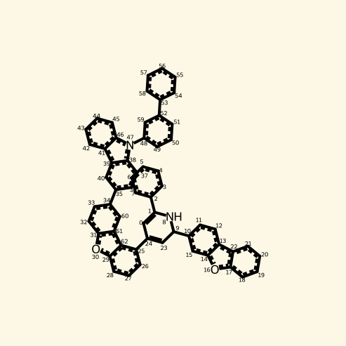 C1=C(c2ccccc2)NC(c2ccc3c(c2)oc2ccccc23)C=C1c1cccc2oc3ccc(-c4ccc5c(c4)c4ccccc4n5-c4cccc(-c5ccccc5)c4)cc3c12